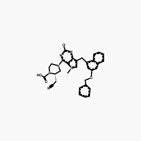 Cn1cc(Cc2cc(OCc3ccccc3)cc3ccccc23)c2nc(Cl)nc(N3CCN(C(=O)O)[C@@H](CC#N)C3)c21